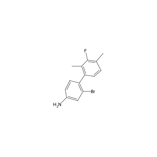 Cc1ccc(-c2ccc(N)cc2Br)c(C)c1F